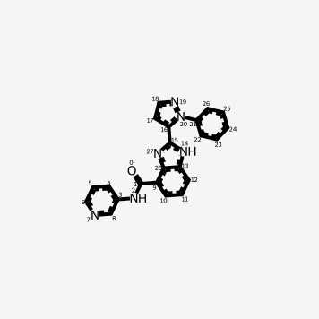 O=C(Nc1cccnc1)c1cccc2[nH]c(-c3ccnn3-c3ccccc3)nc12